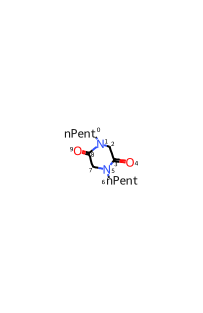 CCCCCN1CC(=O)N(CCCCC)CC1=O